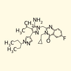 C=C(C)c1c(-c2cnn(C(CC)CC)c2)nn(Cc2nc3ccc(F)cc3c(=O)n2CC2CC2)c1N